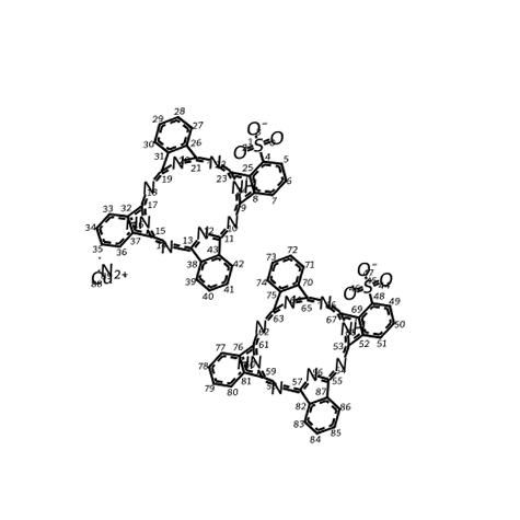 O=S(=O)([O-])c1cccc2c3nc4nc(nc5[nH]c(nc6nc(nc([nH]3)c12)-c1ccccc1-6)c1ccccc51)-c1ccccc1-4.O=S(=O)([O-])c1cccc2c3nc4nc(nc5[nH]c(nc6nc(nc([nH]3)c12)-c1ccccc1-6)c1ccccc51)-c1ccccc1-4.[Cu+2].[N]